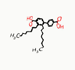 CCCCCCCCc1c(C(=O)O)ccc(-c2ccc(C(=O)O)cc2)c1CCCCCCCC